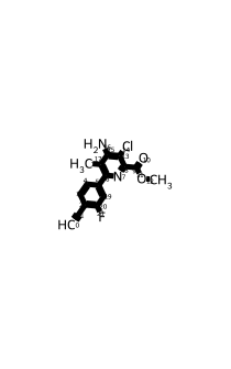 C#Cc1ccc(-c2nc(C(=O)OC)c(Cl)c(N)c2C)cc1F